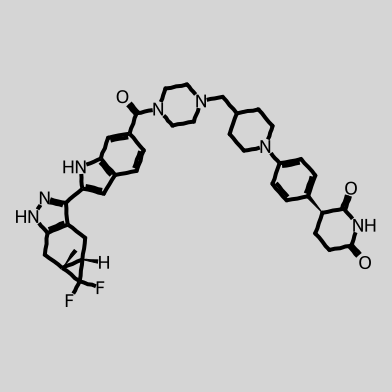 C[C@@]12Cc3[nH]nc(-c4cc5ccc(C(=O)N6CCN(CC7CCN(c8ccc([C@@H]9CCC(=O)NC9=O)cc8)CC7)CC6)cc5[nH]4)c3C[C@@H]1C2(F)F